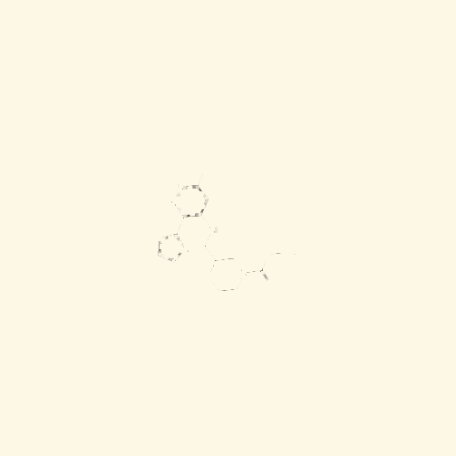 CC(C)(C)OC(=O)N1CCOC(CNc2cc(Cl)nnc2-c2ncco2)C1